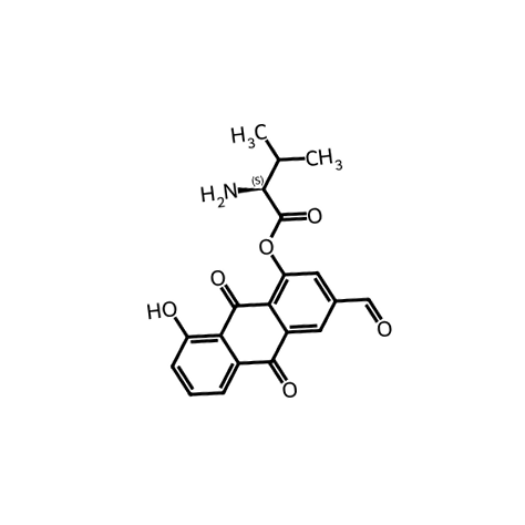 CC(C)[C@H](N)C(=O)Oc1cc(C=O)cc2c1C(=O)c1c(O)cccc1C2=O